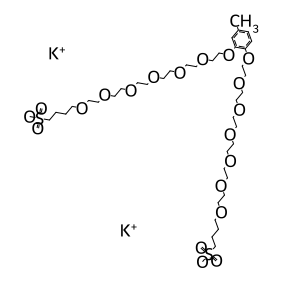 Cc1ccc(OCCOCCOCCOCCOCCOCCOCCCCS(=O)(=O)[O-])c(OCCOCCOCCOCCOCCOCCOCCCCS(=O)(=O)[O-])c1.[K+].[K+]